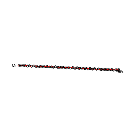 COCCOCCOCCOCCOCCOCCOCCOCCOCCOCCOCCOCCOCCOCCOCCOCCOCCOCCOCCOCCOCCOCCOCCOCCOCCOCCOCCOCCOCCOCCOCCOCCOCCOCCOCCOCCOCCOCCOCCOCCOCCOCCOCCOCCOCCOCCS(=O)(=O)CCC(C)(C)C